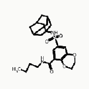 CCCCNC(=O)c1cc(S(=O)(=O)NC23CC4CC(CC(C4)C2)C3)cc2c1OCCO2